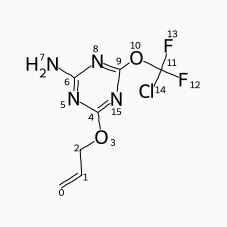 C=CCOc1nc(N)nc(OC(F)(F)Cl)n1